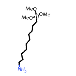 C[O][Ti]([CH2]CCCCCCCCCN)([O]C)[O]C